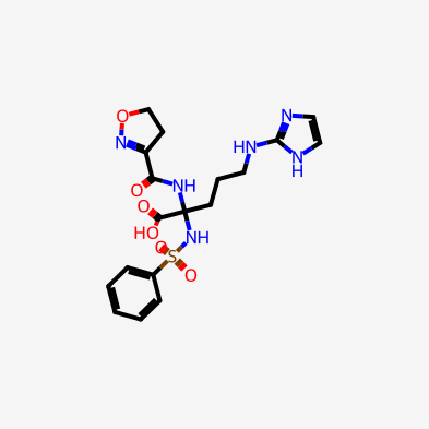 O=C(NC(CCCNc1ncc[nH]1)(NS(=O)(=O)c1ccccc1)C(=O)O)C1=NOCC1